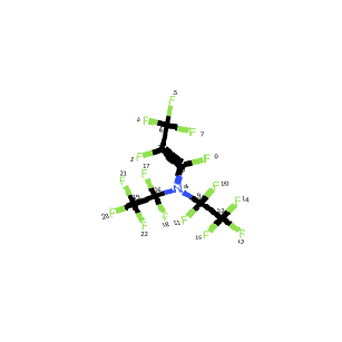 FC(=C(F)C(F)(F)F)N(C(F)(F)C(F)(F)F)C(F)(F)C(F)(F)F